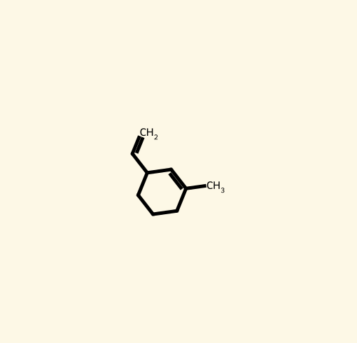 C=CC1C=C(C)CCC1